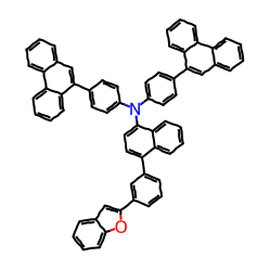 c1cc(-c2cc3ccccc3o2)cc(-c2ccc(N(c3ccc(-c4cc5ccccc5c5ccccc45)cc3)c3ccc(-c4cc5ccccc5c5ccccc45)cc3)c3ccccc23)c1